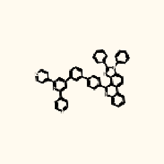 c1ccc(-c2nc3c4c(-c5ccc(-c6cccc(-c7cc(-c8ccncc8)nc(-c8ccncc8)c7)c6)cc5)nc5ccccc5c4ccc3n2-c2ccccc2)cc1